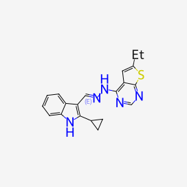 CCc1cc2c(N/N=C/c3c(C4CC4)[nH]c4ccccc34)ncnc2s1